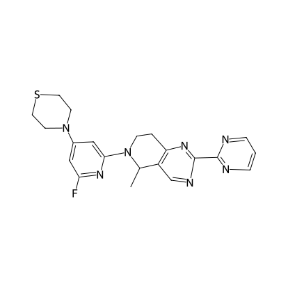 CC1c2cnc(-c3ncccn3)nc2CCN1c1cc(N2CCSCC2)cc(F)n1